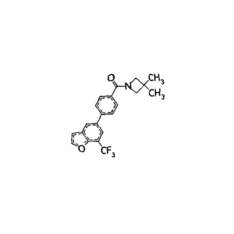 CC1(C)CN(C(=O)c2ccc(-c3cc(C(F)(F)F)c4occc4c3)cc2)C1